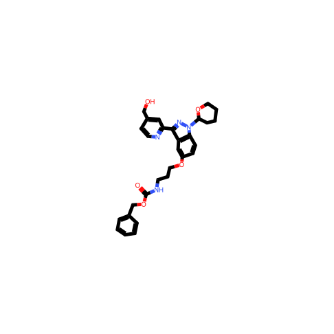 O=C(NCCCOc1ccc2c(c1)c(-c1cc(CO)ccn1)nn2C1CCCCO1)OCc1ccccc1